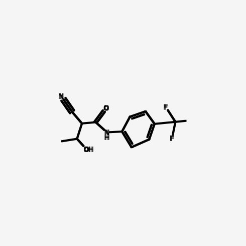 CC(O)C(C#N)C(=O)Nc1ccc(C(C)(F)F)cc1